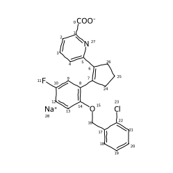 O=C([O-])c1cccc(C2=C(c3cc(F)ccc3OCc3ccccc3Cl)CCC2)n1.[Na+]